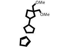 C1=CCC=C1.COCC1(COC)CCC(C2CCCC2)C1